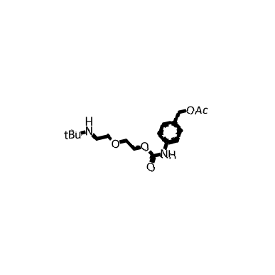 CC(=O)OCc1ccc(NC(=O)OCCOCCNC(C)(C)C)cc1